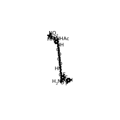 CC(=O)Nc1cc(NCCOCCOCCOCCOCCNCCCOc2cc(C(N)=O)c(Nc3ccc(I)cc3F)c(F)c2F)ccc1C(=O)Nc1nc(C)c([N+](=O)[O-])s1